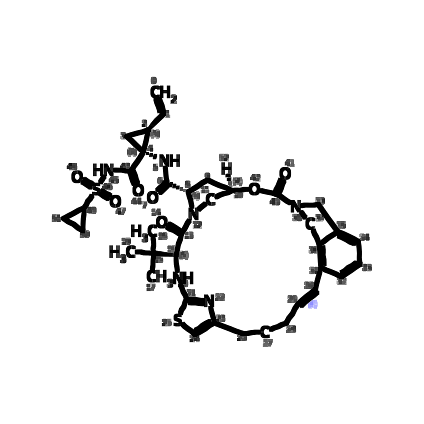 C=C[C@@H]1C[C@]1(NC(=O)[C@@H]1C[C@@H]2CN1C(=O)[C@H](C(C)(C)C)Nc1nc(cs1)CCC/C=C/c1cccc3c1CN(C3)C(=O)O2)C(=O)NS(=O)(=O)C1CC1